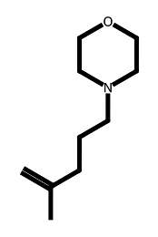 C=C(C)CCCN1CCOCC1